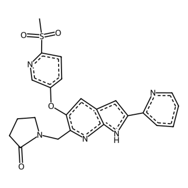 CS(=O)(=O)c1ccc(Oc2cc3cc(-c4ccccn4)[nH]c3nc2CN2CCCC2=O)cn1